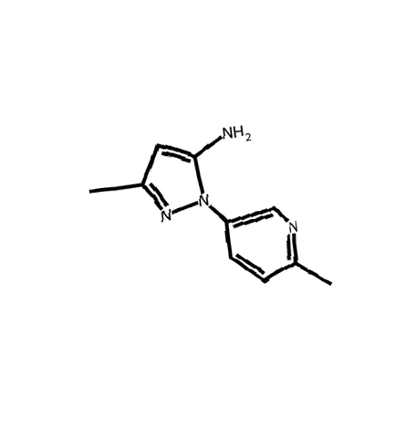 Cc1ccc(-n2nc(C)cc2N)cn1